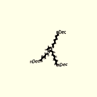 CCCCCCCCCCCCCCCCC[n+]1ccn(CCCCCCCCCCCCCCC)c1CCCCCCCCCCCCCCCC